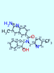 Cc1cc2cc(C(=O)N(Cc3ccc(C(F)(F)F)cn3)[C@@H]3Cc4ccccc4[C@H]3O)ccc2nc1N